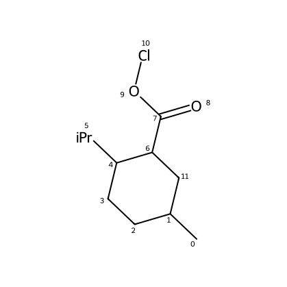 CC1CCC(C(C)C)C(C(=O)OCl)C1